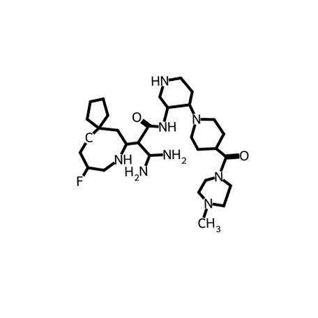 CN1CCN(C(=O)C2CCN(C3CCNCC3NC(=O)C(C(N)N)C3CC4(CCCC4)CCC(F)CN3)CC2)CC1